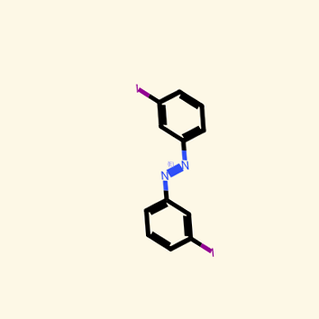 Ic1cccc(/N=N/c2cccc(I)c2)c1